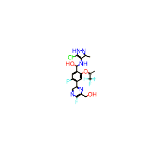 Cc1n[nH]c(Cl)c1NC(O)c1cc(F)c(-c2cnc(F)c(CO)n2)cc1O[C@@H](C)C(F)(F)F